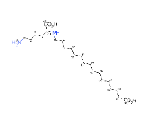 NCCCC[C@H](NCCCCCCCCCCCCCCCC(=O)O)C(=O)O